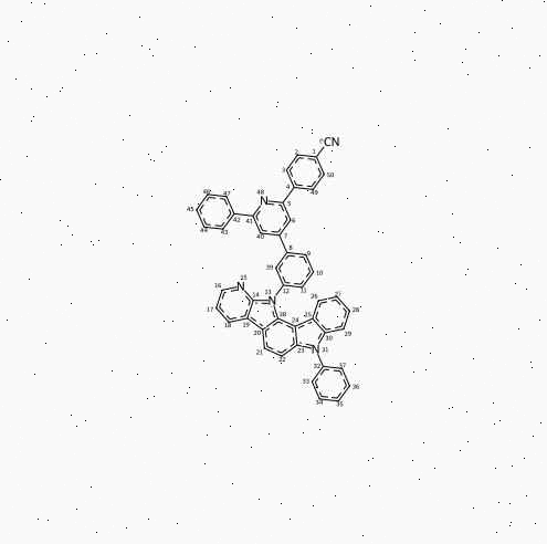 N#Cc1ccc(-c2cc(-c3cccc(-n4c5ncccc5c5ccc6c(c7ccccc7n6-c6ccccc6)c54)c3)cc(-c3ccccc3)n2)cc1